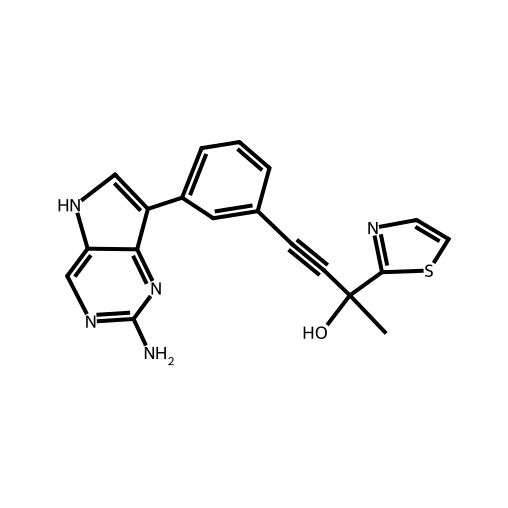 CC(O)(C#Cc1cccc(-c2c[nH]c3cnc(N)nc23)c1)c1nccs1